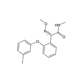 CNC(=O)/C(=N\OC)c1ccccc1Oc1cccc(I)c1